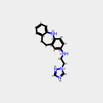 c1ccc2c(c1)CCc1cc(NCCn3cncn3)ccc1N2